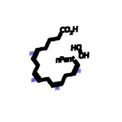 CCCCC/C=C\C/C=C\C/C=C\C/C=C\CCCC(=O)O.OO